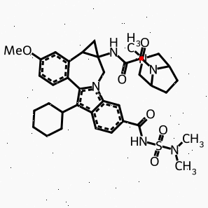 COc1ccc2c(c1)C1CC1(NC(=O)C(=O)N1C3CCC1CN(C)C3)Cn1c-2c(C2CCCCC2)c2ccc(C(=O)NS(=O)(=O)N(C)C)cc21